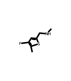 CNCc1cc(F)c(C)s1